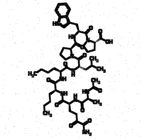 CCCC[C@H](NC(=O)[C@H](CCC(=O)C(N)=O)NC(=O)[C@H](C)NC(C)=O)C(=O)N[C@@H](CCCC)C(=O)N[C@@H](CC(C)C)C(=O)N1CCC[C@H]1C(=O)N[C@@H](Cc1c[nH]c2ccccc12)C(=O)N1CCC[C@H]1C(=O)O